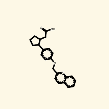 O=C(O)CC1CCCC1c1ccc(OCc2ccc3ccccc3n2)cc1